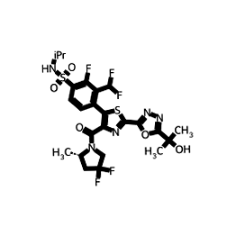 CC(C)NS(=O)(=O)c1ccc(-c2sc(-c3nnc(C(C)(C)O)o3)nc2C(=O)N2CC(F)(F)C[C@@H]2C)c(C(F)F)c1F